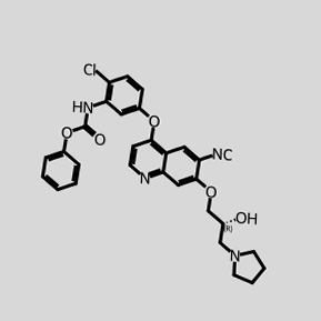 [C-]#[N+]c1cc2c(Oc3ccc(Cl)c(NC(=O)Oc4ccccc4)c3)ccnc2cc1OC[C@H](O)CN1CCCC1